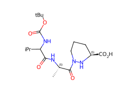 CC(C)C(NC(=O)OC(C)(C)C)C(=O)N[C@@H](C)C(=O)N1CCC[C@@H](C(=O)O)N1